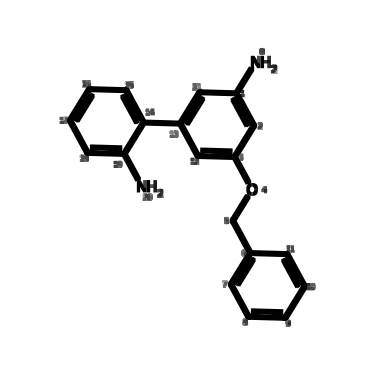 Nc1cc(OCc2ccccc2)cc(-c2ccccc2N)c1